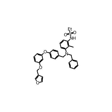 CCS(=O)(=O)Nc1cccc(N(Cc2ccccc2)Cc2ccc(Oc3cccc(OCc4ccoc4)c3)cc2)c1C